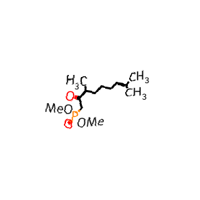 COP(=O)(CC(=O)C(C)CCCC=C(C)C)OC